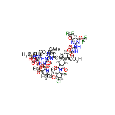 C#CC(C)Oc1cc(N2C(=O)C3=C(CCCC3)C2=O)c(F)cc1Cl.CCS(=O)(=O)c1cccnc1S(=O)(=O)NC(=O)Nc1nc(OC)cc(OC)n1.C[S+](C)C.O=C(Nc1nc(OC(F)F)cc(OC(F)F)n1)NS(=O)(=O)c1ccccc1C(=O)O.O=C(O)CNCP(=O)([O-])O